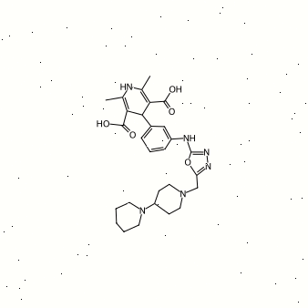 CC1=C(C(=O)O)C(c2cccc(Nc3nnc(CN4CCC(N5CCCCC5)CC4)o3)c2)C(C(=O)O)=C(C)N1